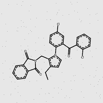 CCc1ccn(-c2ccc(Cl)cc2C(=O)c2ccccc2Cl)c1CN1C(=O)c2ccccc2C1=O